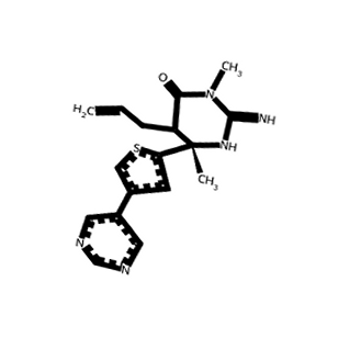 C=CCC1C(=O)N(C)C(=N)N[C@]1(C)c1cc(-c2cncnc2)cs1